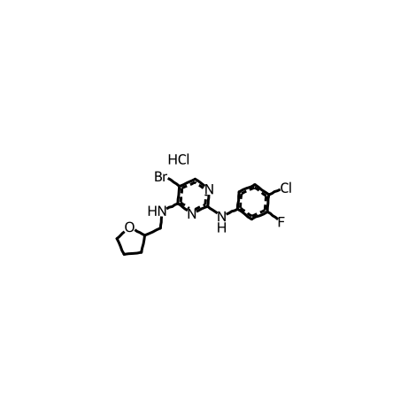 Cl.Fc1cc(Nc2ncc(Br)c(NCC3CCCO3)n2)ccc1Cl